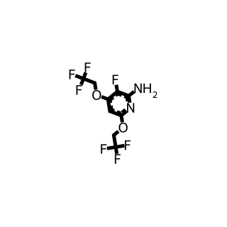 Nc1nc(OCC(F)(F)F)cc(OCC(F)(F)F)c1F